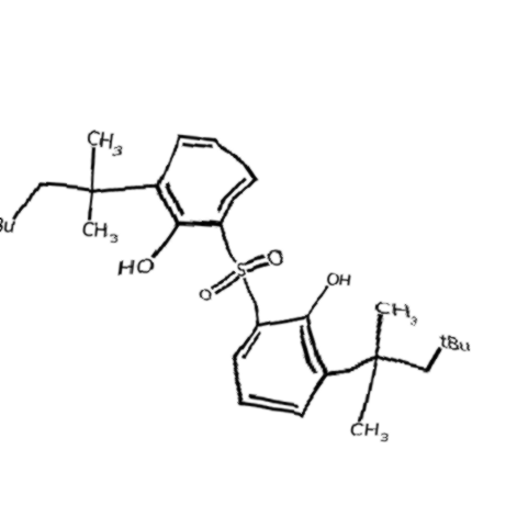 CC(C)(C)CC(C)(C)c1cccc(S(=O)(=O)c2cccc(C(C)(C)CC(C)(C)C)c2O)c1O